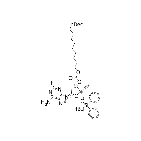 C#C[C@]1(CO[Si](c2ccccc2)(c2ccccc2)C(C)(C)C)O[C@@H](n2cnc3c(N)nc(F)nc32)C[C@@H]1OC(=O)OCCCCCCCCCCCCCCCCCCC